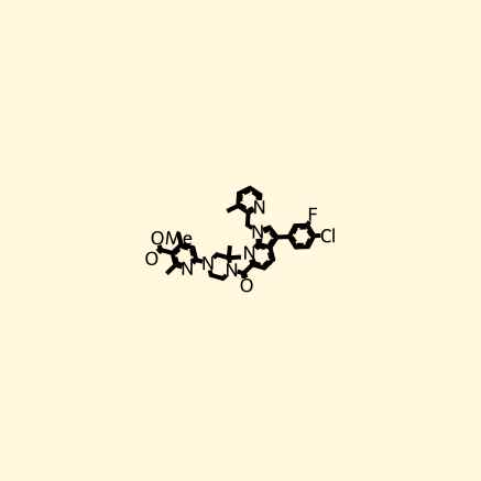 COC(=O)c1c(C)cc(N2CCN(C(=O)c3ccc4c(-c5ccc(Cl)c(F)c5)cn(Cc5ncccc5C)c4n3)C(C)(C)C2)nc1C